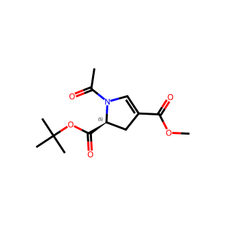 COC(=O)C1=CN(C(C)=O)[C@H](C(=O)OC(C)(C)C)C1